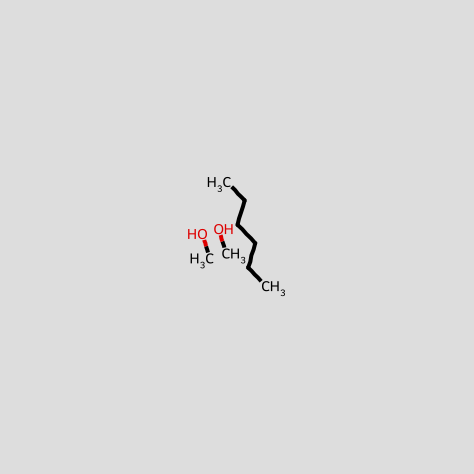 CCCCCC.CO.CO